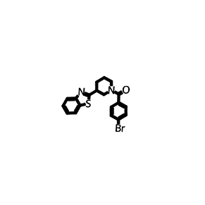 O=C(c1ccc(Br)cc1)N1CCCC(c2nc3ccccc3s2)C1